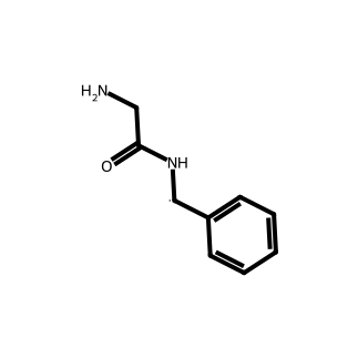 NCC(=O)N[CH]c1ccccc1